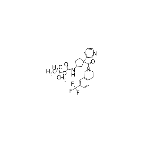 CC(C)(C)OC(=O)NC1CCC(C(=O)N2CCc3ccc(C(F)(F)F)cc3C2)(c2cccnc2)C1